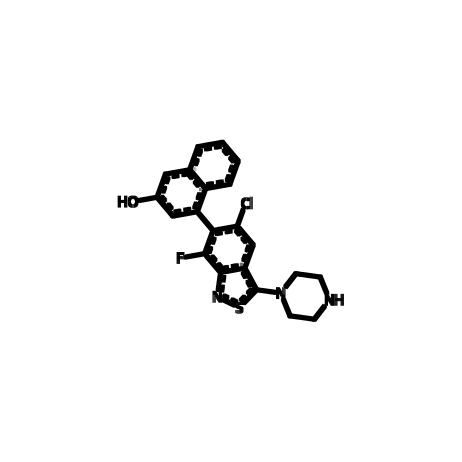 Oc1cc(-c2c(Cl)cc3c(N4CCNCC4)snc3c2F)c2ccccc2c1